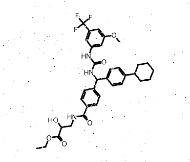 CCOC(=O)C(O)CNC(=O)c1ccc(C(NC(=O)Nc2cc(OC)cc(C(F)(F)F)c2)c2ccc(C3CCCCC3)cc2)cc1